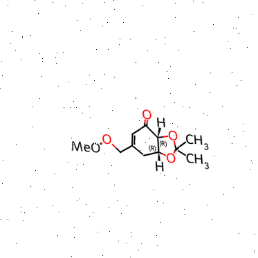 COOCC1=CC(=O)[C@@H]2OC(C)(C)O[C@@H]2C1